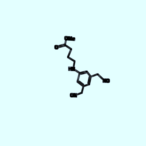 COC(=O)CCCNc1cc(CN=O)cc(CN=O)c1